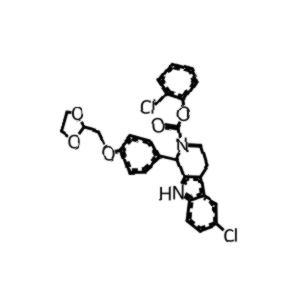 O=C(Oc1ccccc1Cl)N1CCc2c([nH]c3ccc(Cl)cc23)C1c1ccc(OCC2OCCO2)cc1